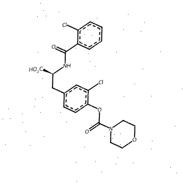 O=C(N[C@@H](Cc1ccc(OC(=O)N2CCOCC2)c(Cl)c1)C(=O)O)c1ccccc1Cl